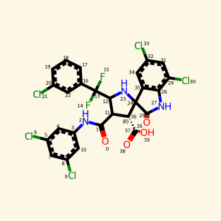 O=C(Nc1cc(Cl)cc(Cl)c1)C1C(C(F)(F)c2cccc(Cl)c2)NC2(C(=O)Nc3c(Cl)cc(Cl)cc32)[C@@H]1C(=O)O